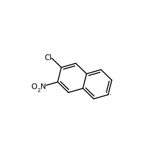 O=[N+]([O-])c1cc2c[c]ccc2cc1Cl